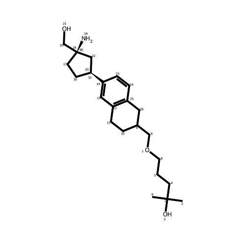 CC(C)(O)CCCOCC1CCc2cc([C@H]3CC[C@](N)(CO)C3)ccc2C1